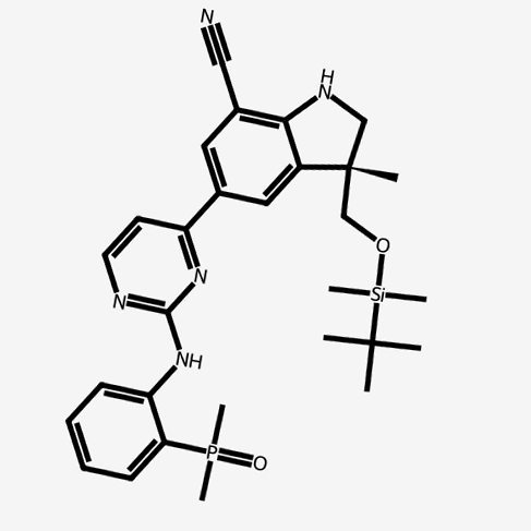 CC(C)(C)[Si](C)(C)OC[C@@]1(C)CNc2c(C#N)cc(-c3ccnc(Nc4ccccc4P(C)(C)=O)n3)cc21